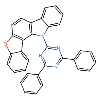 c1ccc(-c2nc(-c3ccccc3)nc(-n3c4ccccc4c4ccc5oc6ccccc6c5c43)n2)cc1